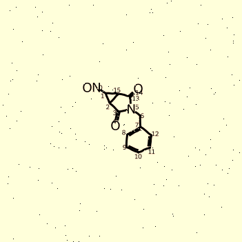 O=NC1C2C(=O)N(Cc3ccccc3)C(=O)C12